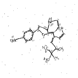 CC(/C=C(\C=C/N)C1=C2OC(c3ccc(N=O)cc3)=CC2NC=C1)C(C)(C)O